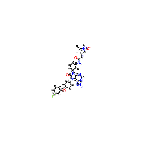 CN(C(=O)/C=C/C[N+](C)([O-])C1CC1)c1cccc(-n2c(=O)n(-c3ccc(Oc4cccc(F)c4)cc3)c3c(N)ncnc32)c1